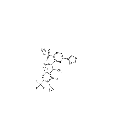 C=C(c1nc(-n2cncn2)ccc1S(=O)(=O)CC)N(C)c1c(N)cc(C(F)(F)F)n(C2CC2)c1=O